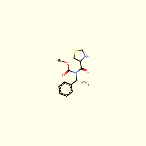 C[C@H](c1ccccc1)N(C(=O)OC(C)(C)C)C(=O)[C@H]1CSCN1